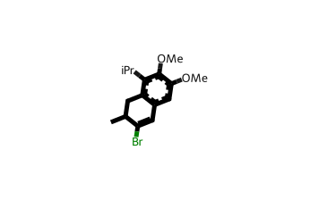 COc1cc2c(c(C(C)C)c1OC)CC(C)C(Br)=C2